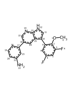 COc1c(F)cc(F)cc1-c1c[nH]c2ncc(-c3cccc(N)c3)cc12